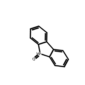 O=[PH]1c2ccccc2-c2ccccc21